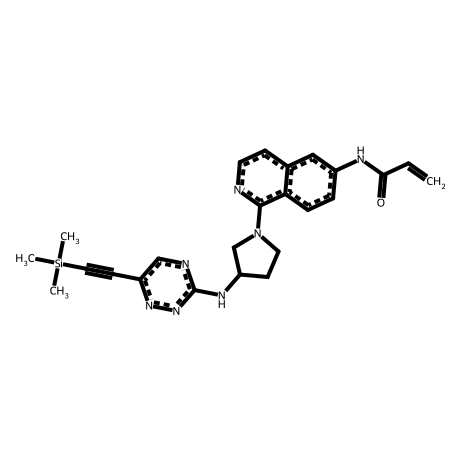 C=CC(=O)Nc1ccc2c(N3CCC(Nc4ncc(C#C[Si](C)(C)C)nn4)C3)nccc2c1